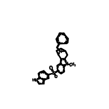 Cn1c2c(c3cc(S(=O)(=O)c4ccc5[nH]ccc5c4)ccc31)C1CCC(C2)N1Cc1ccccc1